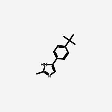 Cc1ncc(-c2ccc(C(C)(C)C)cc2)[nH]1